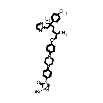 CCC(C)n1ncn(-c2ccc(N3CCN(c4ccc(OCC(C)CCC(C)(Cn5nccn5)c5ccc(C)cc5)cc4)CC3)cc2)c1=O